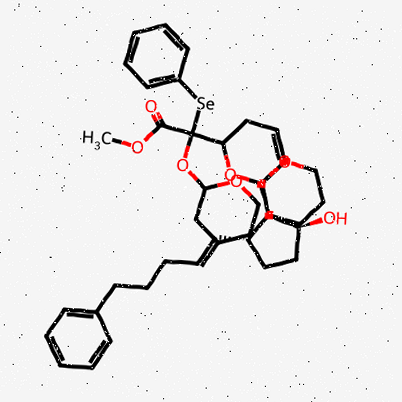 COC(=O)C(OC1CCCCO1)([Se]c1ccccc1)C(C/C=C\C[C@H]1[C@@H](O)CC[C@@H]1/C=C/CCCc1ccccc1)OC1CCCCO1